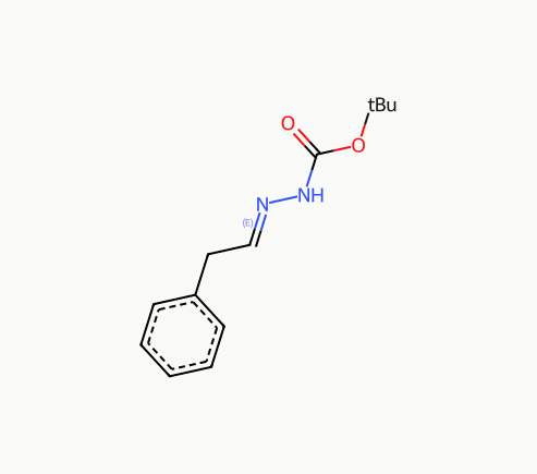 CC(C)(C)OC(=O)N/N=C/Cc1ccccc1